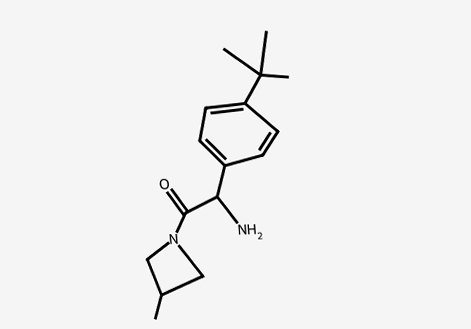 CC1CN(C(=O)C(N)c2ccc(C(C)(C)C)cc2)C1